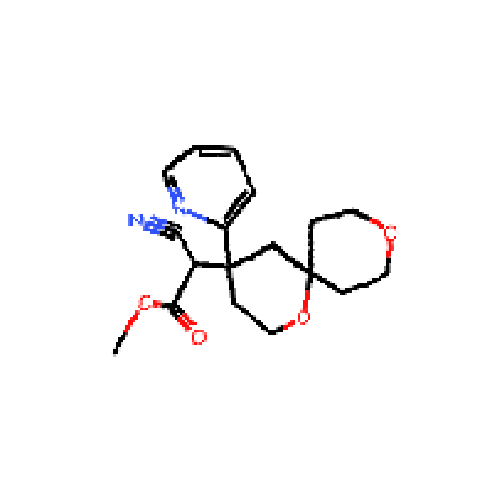 COC(=O)C(C#N)C1(c2ccccn2)CCOC2(CCOCC2)C1